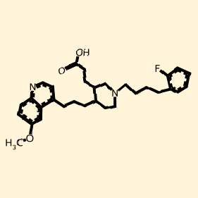 COc1ccc2nccc(CCCC3CCN(CCCCc4ccccc4F)CC3CCC(=O)O)c2c1